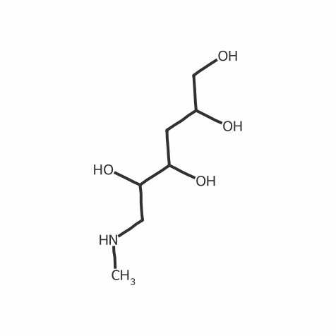 CNCC(O)C(O)CC(O)CO